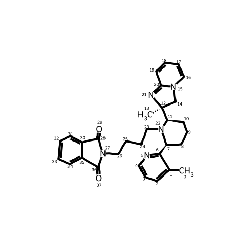 Cc1cccnc1[C@@H]1CCC[C@H]([C@]2(C)CN3C=CC=CC3=N2)N1CCCCN1C(=O)c2ccccc2C1=O